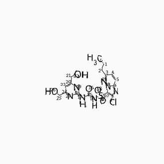 CCCc1ccc2nc(Cl)c(S(=O)(=O)NC(=O)Nc3nc(CO)cc(CO)n3)n2n1